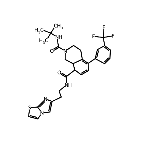 CC(C)(C)NC(=O)N1CCC2=C(c3cccc(C(F)(F)F)c3)C=CC(C(=O)NCCc3cn4ccsc4n3)C2C1